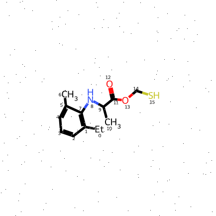 CCc1cccc(C)c1NC(C)C(=O)OCS